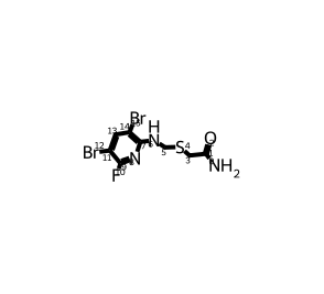 NC(=O)CSCNc1nc(F)c(Br)cc1Br